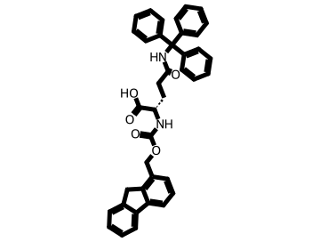 O=C(CC[C@H](NC(=O)OCc1cccc2c1Cc1ccccc1-2)C(=O)O)NC(c1ccccc1)(c1ccccc1)c1ccccc1